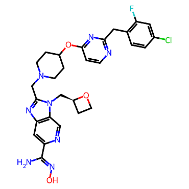 N/C(=N\O)c1cc2nc(CN3CCC(Oc4ccnc(Cc5ccc(Cl)cc5F)n4)CC3)n(C[C@@H]3CCO3)c2cn1